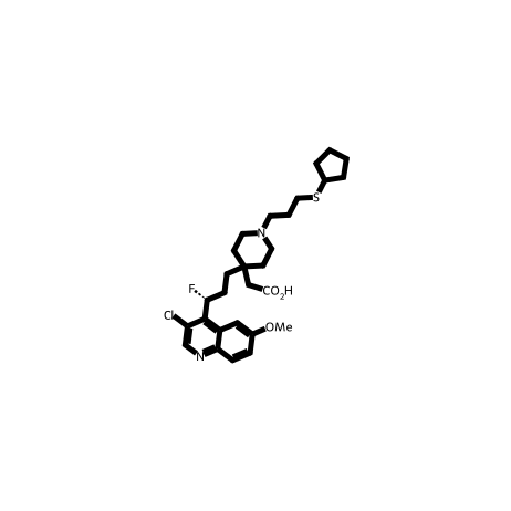 COc1ccc2ncc(Cl)c([C@H](F)CCC3(CC(=O)O)CCN(CCCSC4CCCC4)CC3)c2c1